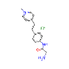 C[n+]1ccc(C=Cc2ccc(NC(=O)CN)cc2)cc1.[Cl-]